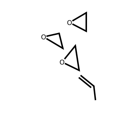 C1CO1.C1CO1.C1CO1.C=CC